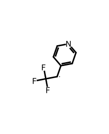 FC(F)(F)[CH]c1ccncc1